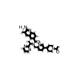 CC(=O)N1CC=C(c2ccc(CN(C(=O)c3ccc4nc(N)c(C)cc4c3)C(C)c3ncccn3)nc2)CC1